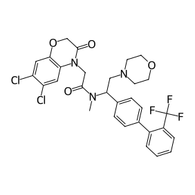 CN(C(=O)CN1C(=O)COc2cc(Cl)c(Cl)cc21)C(CN1CCOCC1)c1ccc(-c2ccccc2C(F)(F)F)cc1